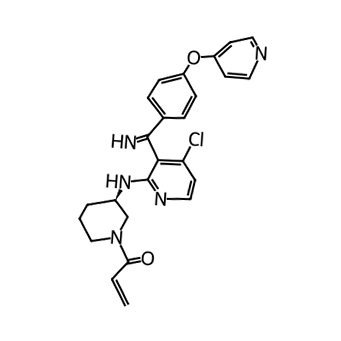 C=CC(=O)N1CCC[C@@H](Nc2nccc(Cl)c2C(=N)c2ccc(Oc3ccncc3)cc2)C1